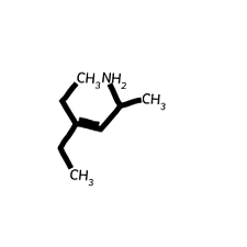 CCC(=CC(C)N)CC